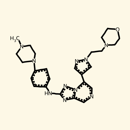 CN1CCN(c2ccc(Nc3nc4cncc(-c5cnn(CCN6CCOCC6)c5)n4n3)cc2)CC1